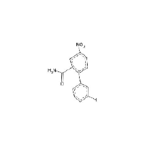 NC(=O)c1cc([N+](=O)[O-])ccc1-c1cccc(I)c1